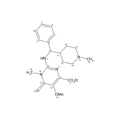 CCOC(=O)c1nc(NC(c2ccccc2)C2CCN(C)CC2)n(C)c(=O)c1OC